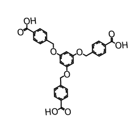 O=C(O)c1ccc(COc2cc(OCc3ccc(C(=O)O)cc3)cc(OCc3ccc(C(=O)O)cc3)c2)cc1